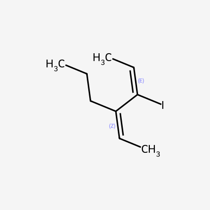 C/C=C(CCC)\C(I)=C/C